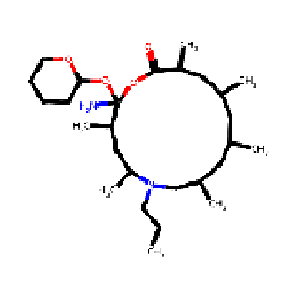 CCCN1CC(C)CC(C)CC(C)CC(C)C(=O)OC(N)(OC2CCCCO2)C(C)CC1C